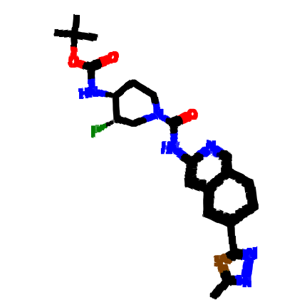 Cc1nnc(-c2ccc3cnc(NC(=O)N4CC[C@H](NC(=O)OC(C)(C)C)[C@@H](F)C4)cc3c2)s1